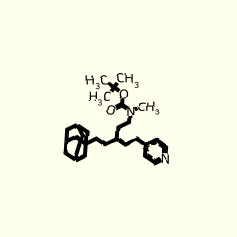 CN(CCC(C[CH]c1ccncc1)CCC12CC3CC(CC(C3)C1)C2)C(=O)OC(C)(C)C